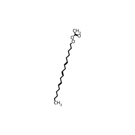 CCCCCC=CCC=CCC=CCCCCCOOC(C)=O